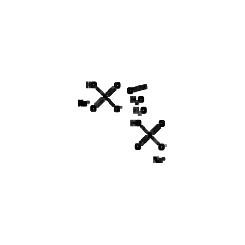 C=O.O.O.O=S(=O)([O-])O.O=S(=O)([O-])O.[Na+].[Na+]